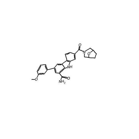 COc1cccc(-c2cc(C(N)=O)c3[nH]c4cc(C(=O)N5CC6CCC(C5)O6)ccc4c3c2)c1